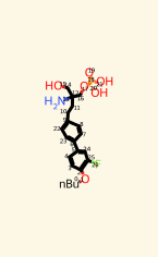 CCCCOc1ccc(-c2ccc(CCC(N)(CO)COP(=O)(O)O)cc2)cc1F